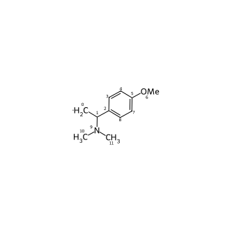 [CH2]C(c1ccc(OC)cc1)N(C)C